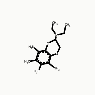 CCN(CC)C1CSc2c(N)c(C)c(C)c(N)c2O1